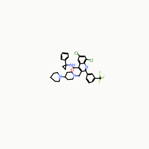 O=C(NC1(c2ccccc2)CC1)c1c(CN2CCC(N3CCCCC3)CC2)c(-c2cccc(C(F)(F)F)c2)nc2c(Cl)cc(Cl)cc12